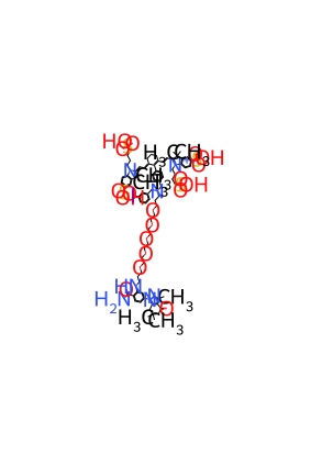 Cc1nn(-c2ccc(C(N)=O)c(NCCCOCCOCCOCCOCCOCCCN(Cc3ccc(C4=C(/C=C/C5=[N+](CCCCS(=O)(=O)O)c6ccc(S(=O)(=O)O)cc6C5(C)C)CCC/C4=C\C=C4\N(CCCCS(=O)(=O)O)c5ccc(S(=O)(=O)O)cc5C4(C)C)cc3)Cc3cccc(I)c3)c2)c2c1C(=O)CC(C)(C)C2